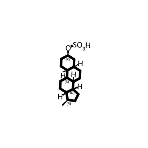 C[C@@H]1CC[C@@H]2[C@H]1CC[C@H]1[C@H]2CC[C@@H]2C[C@H](OS(=O)(=O)O)CC[C@@]21C